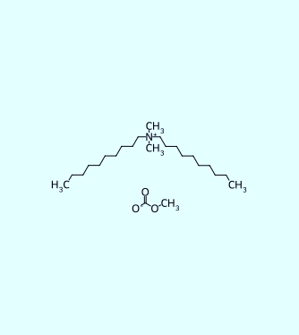 CCCCCCCCCC[N+](C)(C)CCCCCCCCCC.COC(=O)[O-]